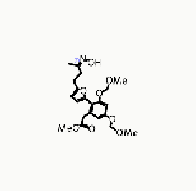 COCOc1cc(CC(=O)OC)c(-c2ccc(CC/C(C)=N\O)o2)c(OCOC)c1